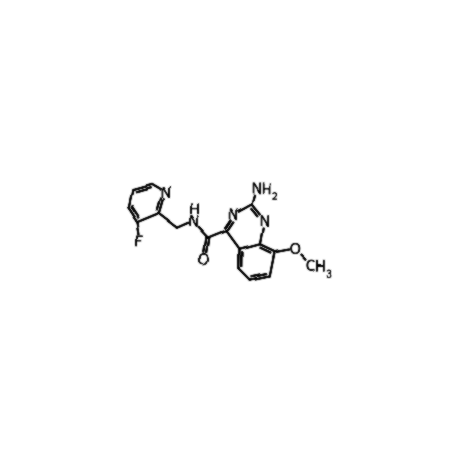 COc1cccc2c(C(=O)NCc3ncccc3F)nc(N)nc12